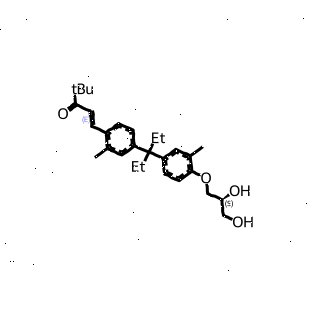 CCC(CC)(c1ccc(/C=C/C(=O)C(C)(C)C)c(C)c1)c1ccc(OC[C@@H](O)CO)c(C)c1